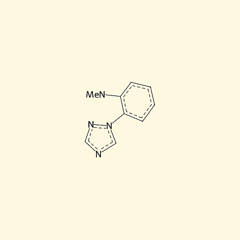 CNc1ccccc1-n1cncn1